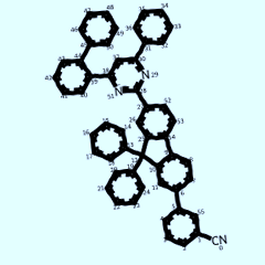 N#Cc1cccc(-c2ccc3c(c2)C(c2ccccc2)(c2ccccc2)c2cc(-c4nc(-c5ccccc5)cc(-c5ccccc5-c5ccccc5)n4)ccc2-3)c1